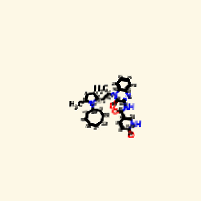 C[C@H]1CC[C@@H](C[C@H](C)n2c(=O)c(NC(=O)c3ccc(=O)[nH]c3)nc3ccccc32)N1C1CCCCCCC1